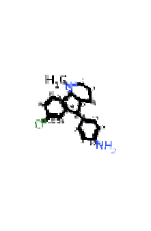 CN1CCCC2C(c3ccc(N)cc3)c3cc(Cl)ccc3C21